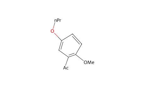 CCCOc1ccc(OC)c(C(C)=O)c1